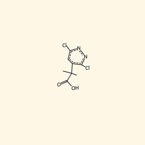 CC(C)(C(=O)O)c1cc(Cl)nnc1Cl